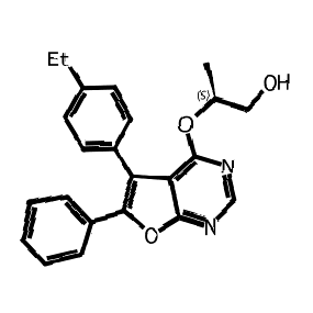 CCc1ccc(-c2c(-c3ccccc3)oc3ncnc(O[C@@H](C)CO)c23)cc1